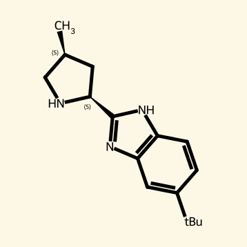 C[C@@H]1CN[C@H](c2nc3cc(C(C)(C)C)ccc3[nH]2)C1